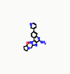 Nc1nc2cc(-c3cccnc3)ccc2c2[nH]c(CN3CCCC3=O)nc12